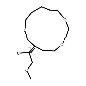 COC/C(Cl)=C1/CCCCCCCOCCOCC1